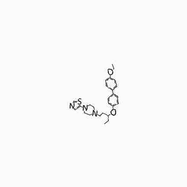 CCOc1ccc(-c2ccc(OC(CC)CCN3CCN(c4cncs4)CC3)cc2)cc1